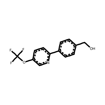 OCc1ccc(-c2ccc(OC(F)(F)F)cn2)cc1